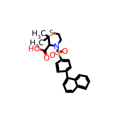 CC1(C)SCCN(S(=O)(=O)c2ccc(-c3cccc4ccccc34)cc2)C1C(=O)O